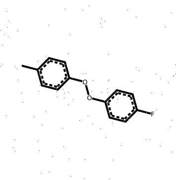 Cc1ccc(OOc2ccc(F)cc2)cc1